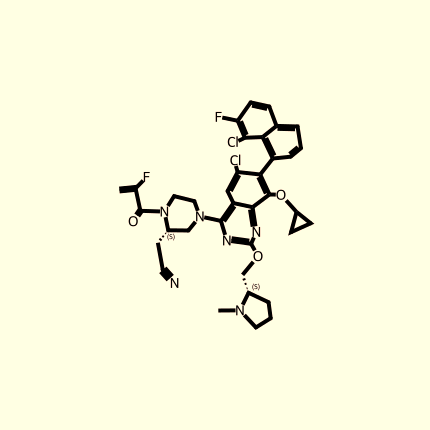 C=C(F)C(=O)N1CCN(c2nc(OC[C@@H]3CCCN3C)nc3c(OC4CC4)c(-c4cccc5ccc(F)c(Cl)c45)c(Cl)cc23)C[C@@H]1CC#N